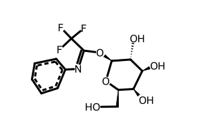 OC[C@H]1O[C@@H](OC(=Nc2ccccc2)C(F)(F)F)[C@H](O)[C@@H](O)[C@H]1O